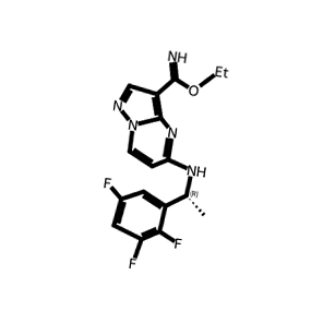 CCOC(=N)c1cnn2ccc(N[C@H](C)c3cc(F)cc(F)c3F)nc12